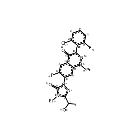 CCn1c(C(C)O)nn(-c2cc3c(cc2F)c(=O)c(-c2c(F)cccc2Cl)nn3C(C)C)c1=O